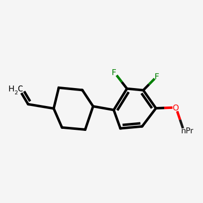 C=CC1CCC(c2ccc(OCCC)c(F)c2F)CC1